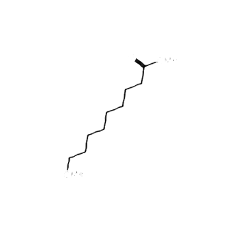 COCCCCCCCCC(=O)OC